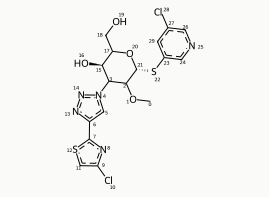 COC1C(n2cc(-c3nc(Cl)cs3)nn2)[C@@H](O)C(CO)O[C@@H]1Sc1cncc(Cl)c1